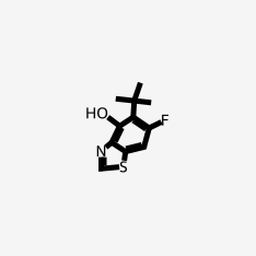 CC(C)(C)c1c(F)cc2scnc2c1O